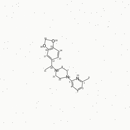 Cc1cccc(N2CCN(C(C)c3ccc4c(c3)OCO4)CC2)n1